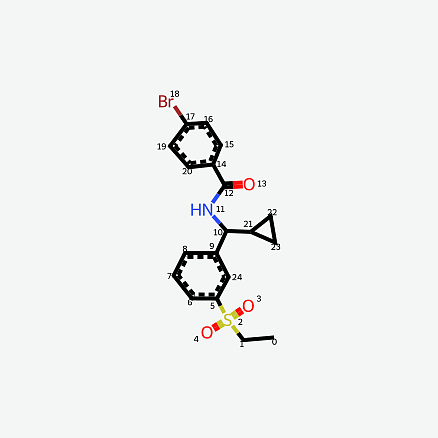 CCS(=O)(=O)c1cccc(C(NC(=O)c2ccc(Br)cc2)C2CC2)c1